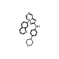 C1=C[N+]2(c3ccc4cccnc4c3)N=C(Nc3ccc(N4CCOCC4)cc3)N=C2C=N1